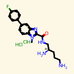 Cl.Cl.Cn1c(C(=O)NC[C@H](N)CCCN)nc2cc(-c3ccc(F)cc3)ccc21